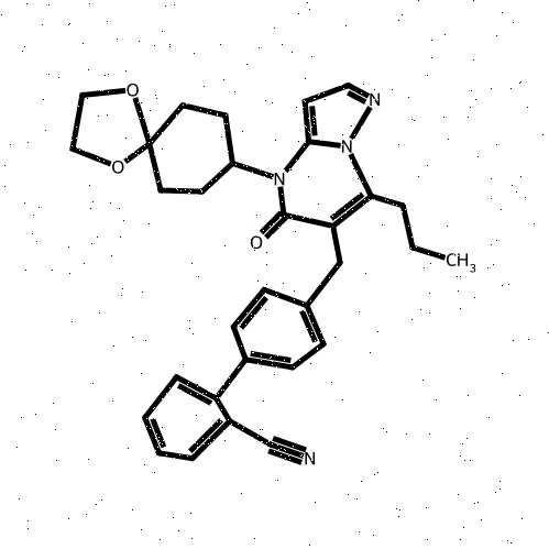 CCCc1c(Cc2ccc(-c3ccccc3C#N)cc2)c(=O)n(C2CCC3(CC2)OCCO3)c2ccnn12